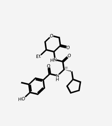 CCC1COCC(=O)C1NC(=O)[C@H](CC1CCCC1)NC(=O)c1ccc(O)c(C)c1